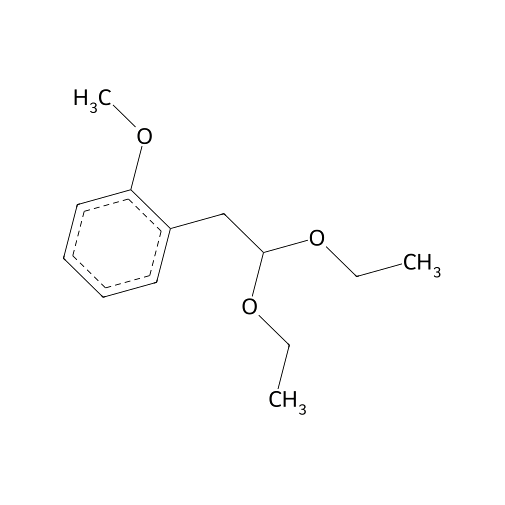 CCOC(Cc1ccccc1OC)OCC